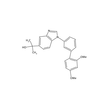 COc1ccc(-c2cccc(-n3cnc4cc(C(C)(C)O)ccc43)c2)c(OC)c1